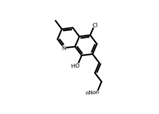 CCCCCCCCCCC=Cc1cc(Cl)c2cc(C)cnc2c1O